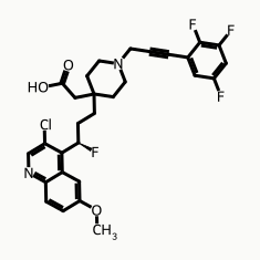 COc1ccc2ncc(Cl)c([C@H](F)CCC3(CC(=O)O)CCN(CC#Cc4cc(F)cc(F)c4F)CC3)c2c1